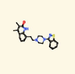 Cc1c(C)c2cccc(CCN3CCN(c4nsc5ccccc45)CC3)c2[nH]c1=O